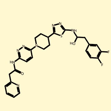 O=C(Cc1ccccn1)Nc1ccc(N2CCC(c3nnc(NC(O)Cc4ccc(F)c(F)c4)s3)CC2)nn1